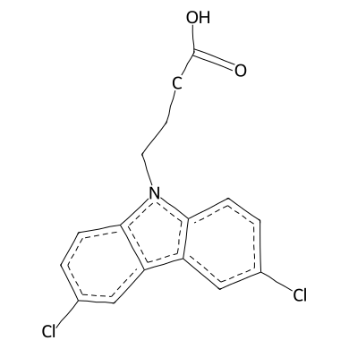 O=C(O)CCCn1c2ccc(Cl)cc2c2cc(Cl)ccc21